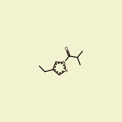 CCc1cnn(C(=O)C(C)C)c1